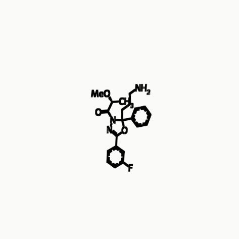 CO[C@@H](C)C(=O)N1N=C(c2cccc(F)c2)OC1(CCCN)c1ccccc1